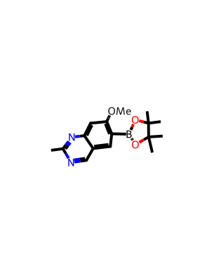 COc1cc2nc(C)ncc2cc1B1OC(C)(C)C(C)(C)O1